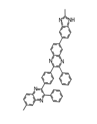 Cc1ccc2nc(-c3ccc(-c4nc5ccc(-c6ccc7[nH]c(C)nc7c6)cc5nc4-c4ccccc4)cc3)c(-c3ccccc3)nc2c1